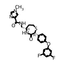 Cn1cnc(C(=O)NC[C@@H]2CCS[C@H](c3ccc(Oc4cc(F)cc(F)c4)cc3)C(=O)N2)c1